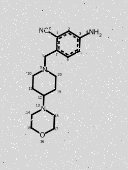 N#Cc1cc(N)ccc1CN1CCC(N2CCOCC2)CC1